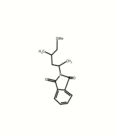 COCC(C)CC(C)N1C(=O)c2ccccc2C1=O